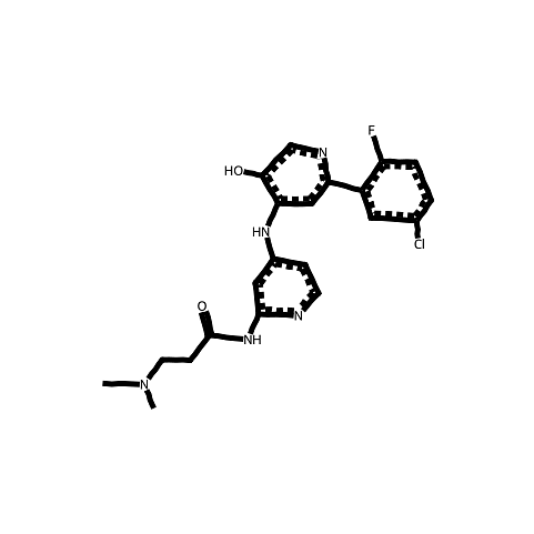 CN(C)CCC(=O)Nc1cc(Nc2cc(-c3cc(Cl)ccc3F)ncc2O)ccn1